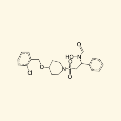 O=CN(O)C(CS(=O)(=O)N1CCC(OCc2ccccc2Cl)CC1)c1ccccc1